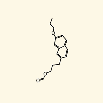 CCCOc1ccc2ccc(CCCOC=O)cc2c1